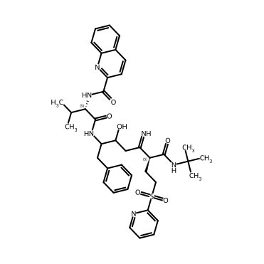 CC(C)[C@H](NC(=O)c1ccc2ccccc2n1)C(=O)NC(Cc1ccccc1)C(O)CC(=N)[C@H](CCS(=O)(=O)c1ccccn1)C(=O)NC(C)(C)C